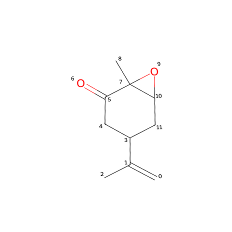 C=C(C)C1CC(=O)C2(C)OC2C1